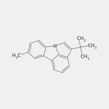 Cc1ccc2c(c1)c1cccc3c(C(C)(C)C)cn2c31